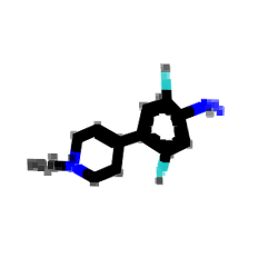 Nc1cc(F)c(C2=CCN(C(=O)O)CC2)cc1F